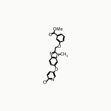 COC(=O)c1cccc(OCc2nc3ccc(Oc4ccc(Cl)nc4)cc3n2C)c1